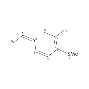 C/C=C\C=C/C(SC)=C(C)C